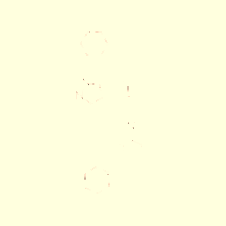 O=C1CCN(C(=O)OCc2ccccc2)CC1c1cnn(Cc2ccccc2)c1